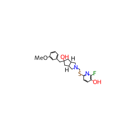 COc1cccc(C[C@]2(O)C[C@H]3CN(CSc4ccc(O)c(F)n4)C[C@H]3C2)c1